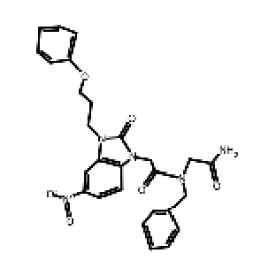 NC(=O)CN(Cc1ccccc1)C(=O)Cn1c(=O)n(CCCOc2ccccc2)c2cc([N+](=O)[O-])ccc21